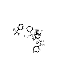 C[N+](C)([O-])[C@H]1C[C@@H](c2cccc(C(F)(F)F)c2)CC[C@@H]1Nc1cc(F)c(S(=O)(=O)Nc2ccncn2)cc1Cl